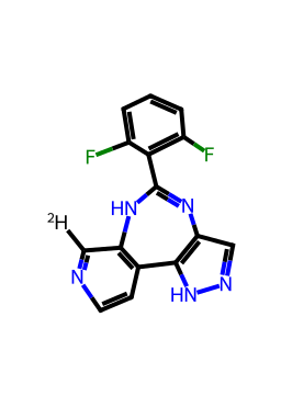 [2H]c1nccc2c1NC(c1c(F)cccc1F)=Nc1cn[nH]c1-2